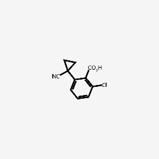 N#CC1(c2cccc(Cl)c2C(=O)O)CC1